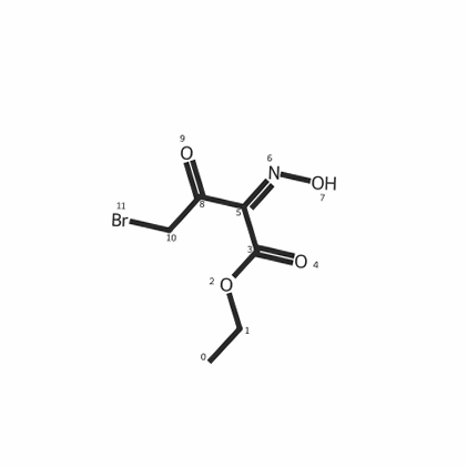 CCOC(=O)/C(=N\O)C(=O)CBr